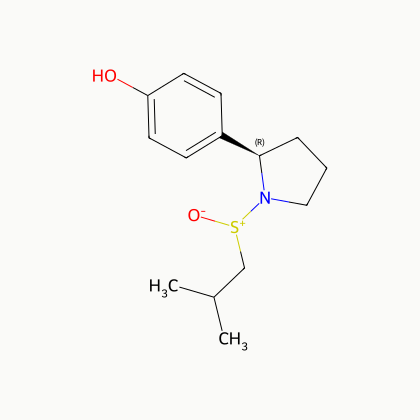 CC(C)C[S+]([O-])N1CCC[C@@H]1c1ccc(O)cc1